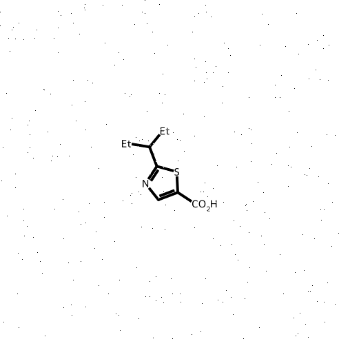 CCC(CC)c1ncc(C(=O)O)s1